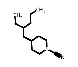 CCCC(CC)CC1CCN(C#N)CC1